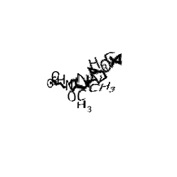 Cc1c(N2CCC(OCC3(C)CC3)C3CC32)nc2c(c1C)C(=O)N(CCC[SH](=O)=O)C2